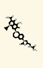 CC(=O)NCC1CN(c2ccc3c(c2)CCCN(c2cc4c(c(C)c2F)c(=O)c(C(=O)O)cn4C2CC2)C3)C(=O)O1